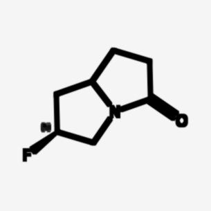 O=C1CCC2C[C@H](F)CN12